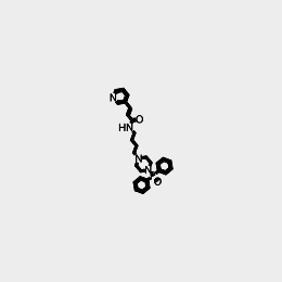 O=C(C=Cc1cccnc1)NCCCCN1CCN(P(=O)(c2ccccc2)c2ccccc2)CC1